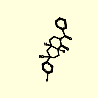 O=C(c1ccccc1)N1CC[C@H]2CC(O)(c3ccc(F)cc3)CC[C@@H]2C1=O